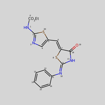 CCOC(=O)Nc1ncc(/C=C2\S/C(=N\c3ccccc3)NC2=O)s1